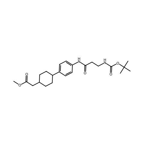 COC(=O)CC1CCC(c2ccc(NC(=O)CCNC(=O)OC(C)(C)C)cc2)CC1